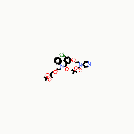 CC(C)(C)OC(=O)N(CCOc1cc(Cl)cc(C(=O)N(CCOCC2COC(C)(C)O2)c2ccccc2)c1)c1ccncc1